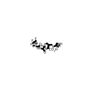 O=C(CS(=O)(=O)C(F)(F)CF)NC1C(=O)N2C(C(=O)O)=C(CSc3c[nH]nn3)CS[C@H]12